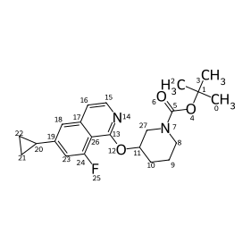 CC(C)(C)OC(=O)N1CCCC(Oc2nccc3cc(C4CC4)cc(F)c23)C1